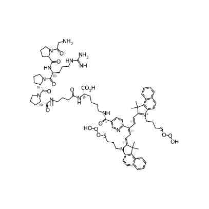 CC1(C)C(/C=C/C(=C/C=C2/N(CCCSOOO)c3ccc4ccccc4c3C2(C)C)c2ccc(C(=O)NCCCC[C@H](NC(=O)CCCNC(=O)[C@@H]3CCCN3C(=O)[C@@H]3CCCN3C(=O)[C@H](CCCNC(=N)N)NC(=O)C3CCCN3C(=O)CN)C(=O)O)cn2)=[N+](CCCSOOO)c2ccc3ccccc3c21